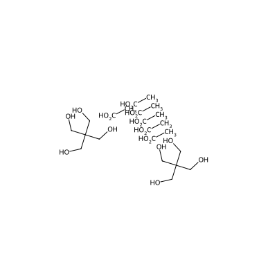 CC(=O)O.CC(=O)O.CC(=O)O.CC(=O)O.CC(=O)O.CC(=O)O.OCC(CO)(CO)CO.OCC(CO)(CO)CO